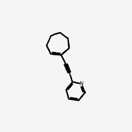 C(#Cc1ccccn1)C1=CCCCCC1